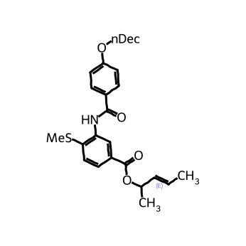 C/C=C/C(C)OC(=O)c1ccc(SC)c(NC(=O)c2ccc(OCCCCCCCCCC)cc2)c1